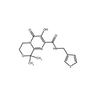 CC1(C)OCCn2c1nc(C(=O)NCc1ccsc1)c(O)c2=O